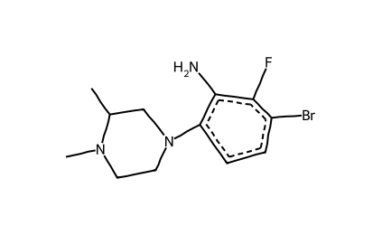 CC1CN(c2ccc(Br)c(F)c2N)CCN1C